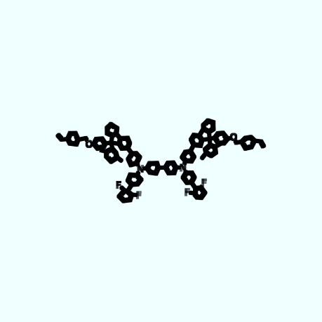 C=Cc1ccc(COc2ccc(C3(c4cc(C)ccc4C)c4ccccc4-c4ccc(-c5ccc(N(c6ccc(-c7ccc(N(c8ccc(-c9ccc%10c(c9)C(c9ccc(OCc%11ccc(C=C)cc%11)cc9)(c9cc(C)ccc9C)c9ccccc9-%10)cc8)c8ccc(-c9c(F)cccc9F)cc8)cc7)cc6)c6ccc(-c7c(F)cccc7F)cc6)cc5)cc43)cc2)cc1